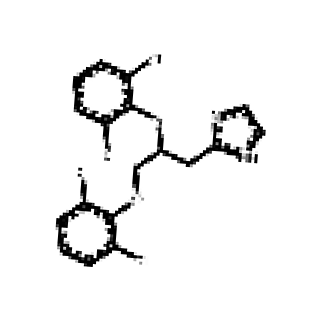 Clc1cccc(Cl)c1OCC(Cc1ncc[nH]1)Sc1c(Cl)cccc1Cl